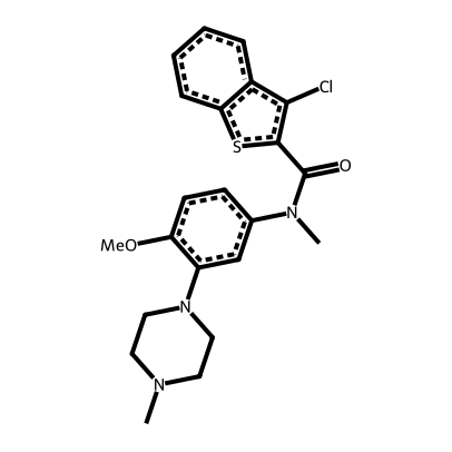 COc1ccc(N(C)C(=O)c2sc3ccccc3c2Cl)cc1N1CCN(C)CC1